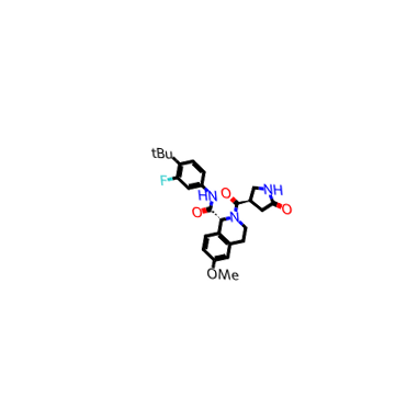 COc1ccc2c(c1)CCN(C(=O)[C@H]1CNC(=O)C1)[C@H]2C(=O)Nc1ccc(C(C)(C)C)c(F)c1